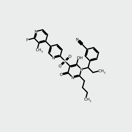 CCCCc1nc(=O)c(S(=O)(=O)c2ccc(-c3ccnc(F)c3C)cn2)c(O)n1C(CC)c1cccc(C#N)c1